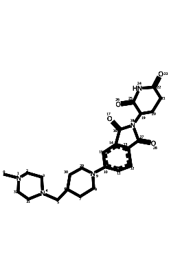 CN1CCN(CC2CCN(c3ccc4c(c3)C(=O)N(C3CCC(=O)NC3=O)C4=O)CC2)CC1